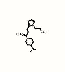 CN(C)C1CCN(C(=O)CCc2nccn2CCC(=O)O)CC1.Cl